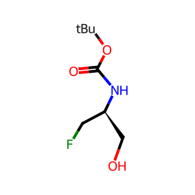 CC(C)(C)OC(=O)N[C@@H](CO)CF